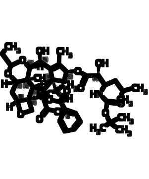 CCC1O[C@H]2C[C@H]3OC[C@@]3(OC(C)=O)[C@H]3[C@H](OC(=O)c4ccccc4)[C@]4(C(C)(C)O)C[C@H](OC(=O)[C@H](O)C(CC(C)C)NC(=O)OC(C)(C)C)C(C)=C4[C@H](O)[C@H](O1)[C@]23C